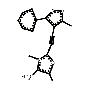 CCOC(=O)c1c(C)nc(C#Cc2c(-c3ccccc3)noc2C)n1C